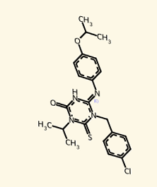 CC(C)Oc1ccc(/N=c2\[nH]c(=O)n(C(C)C)c(=S)n2Cc2ccc(Cl)cc2)cc1